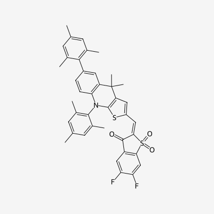 Cc1cc(C)c(-c2ccc3c(c2)C(C)(C)c2cc(/C=C4\C(=O)c5cc(F)c(F)cc5S4(=O)=O)sc2N3c2c(C)cc(C)cc2C)c(C)c1